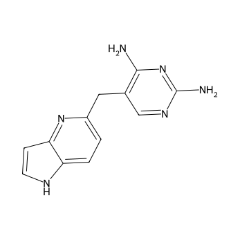 Nc1ncc(Cc2ccc3[nH]ccc3n2)c(N)n1